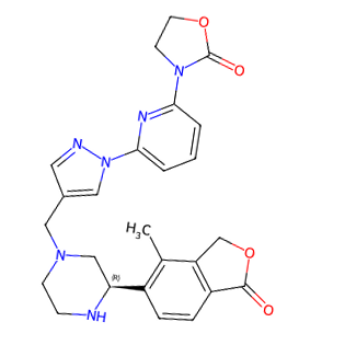 Cc1c([C@@H]2CN(Cc3cnn(-c4cccc(N5CCOC5=O)n4)c3)CCN2)ccc2c1COC2=O